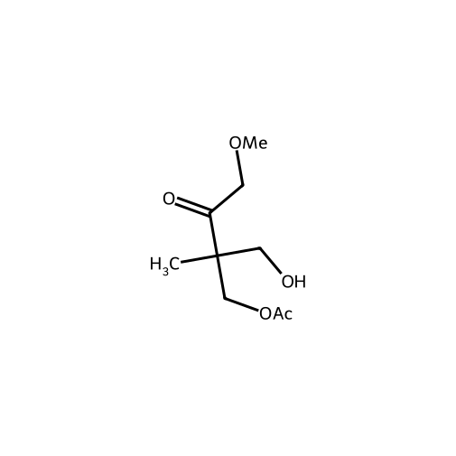 COCC(=O)C(C)(CO)COC(C)=O